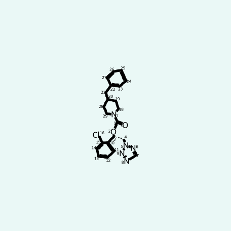 O=C(O[C@H](Cn1ncnn1)c1ccccc1Cl)N1CCC(Cc2ccccc2)CC1